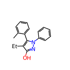 CCc1c(O)nn(-c2ccccc2)c1-c1ccccc1C